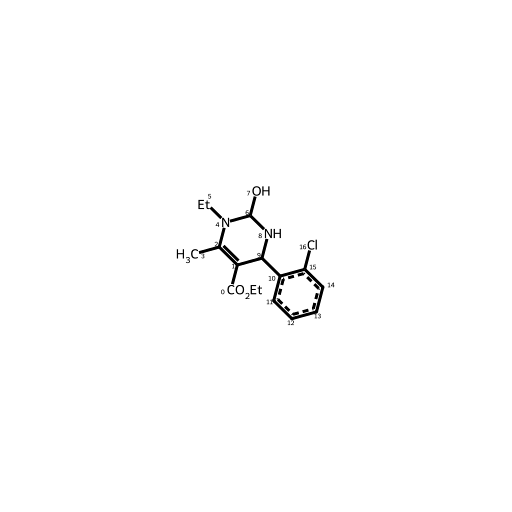 CCOC(=O)C1=C(C)N(CC)C(O)NC1c1ccccc1Cl